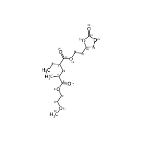 CCC(CC(C)C(=O)OCCOC)C(=O)OCCC1COC(=O)O1